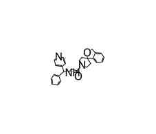 O=C(CNC(c1ccccc1)c1ccncc1)N1CCC2(CC1)OCc1ccccc12